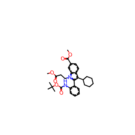 COC(=O)CCn1c(-c2ccccc2NC(=O)OC(C)(C)C)c(C2CCCCC2)c2ccc(C(=O)OC)cc21